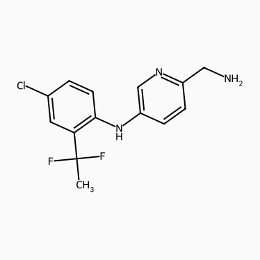 CC(F)(F)c1cc(Cl)ccc1Nc1ccc(CN)nc1